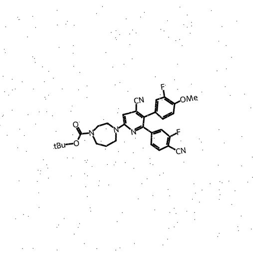 COc1ccc(-c2c(C#N)cc(N3CCCN(C(=O)OC(C)(C)C)CC3)nc2-c2ccc(C#N)c(F)c2)cc1F